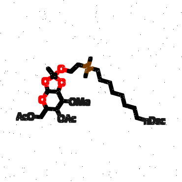 CCCCCCCCCCCCCCCCCCS(C)(C)CCOC1(C)OC2OC(COC(C)=O)C(OC(C)=O)C(OC)C2O1